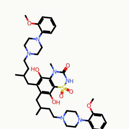 COc1ccccc1N1CCN(CCC(C)Cc2c(O)c3c(c(O)c2CC(C)CCN2CCN(c4ccccc4OC)CC2)S(=O)(=O)NC(=O)N3C)CC1